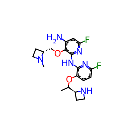 CC(Oc1ccc(F)nc1Nc1nc(F)cc(N)c1OC[C@H]1CCN1C)[C@@H]1CCN1